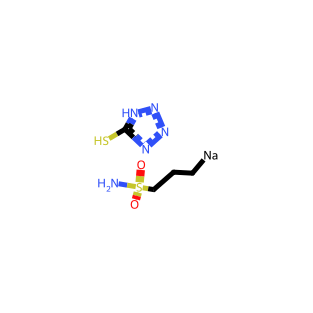 NS(=O)(=O)CC[CH2][Na].Sc1nnn[nH]1